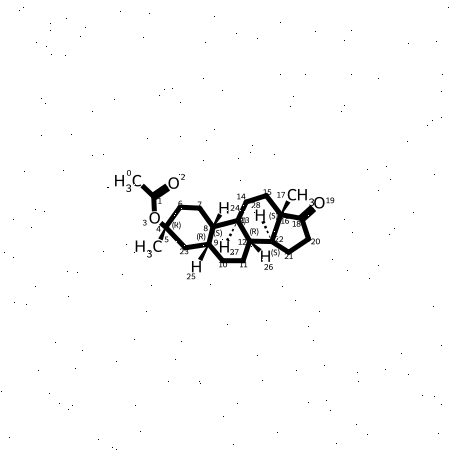 CC(=O)O[C@]1(C)CC[C@H]2[C@H](CC[C@@H]3[C@@H]2CC[C@]2(C)C(=O)CC[C@@H]32)C1